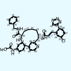 COC(=O)Nc1ccc2c(c1)N[C@@H](C(=O)NCc1ccccc1)CCCCC[C@H](NC(=O)/C=C/c1cc(Cl)ccc1-n1cnnn1)c1cc-2ccn1